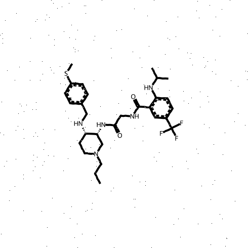 CCCN1CC[C@H](NCc2ccc(SC)cc2)[C@H](NC(=O)CNC(=O)c2cc(C(F)(F)F)ccc2NC(C)C)C1